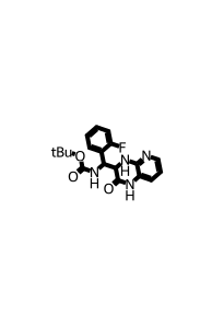 CC(C)(C)OC(=O)NC(c1ccccc1F)C1Nc2ncccc2NC1=O